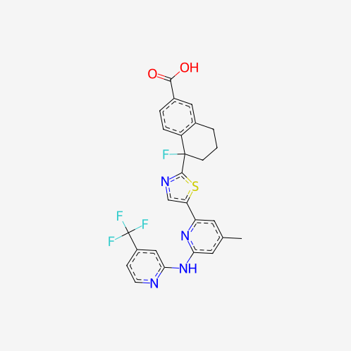 Cc1cc(Nc2cc(C(F)(F)F)ccn2)nc(-c2cnc(C3(F)CCCc4cc(C(=O)O)ccc43)s2)c1